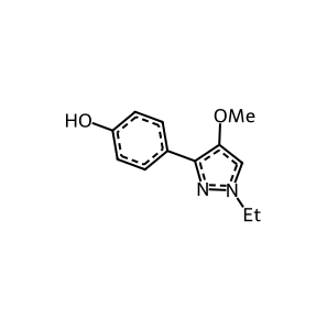 CCn1cc(OC)c(-c2ccc(O)cc2)n1